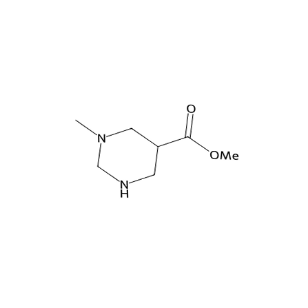 COC(=O)C1CNCN(C)C1